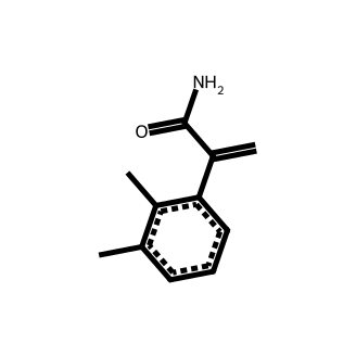 C=C(C(N)=O)c1cccc(C)c1C